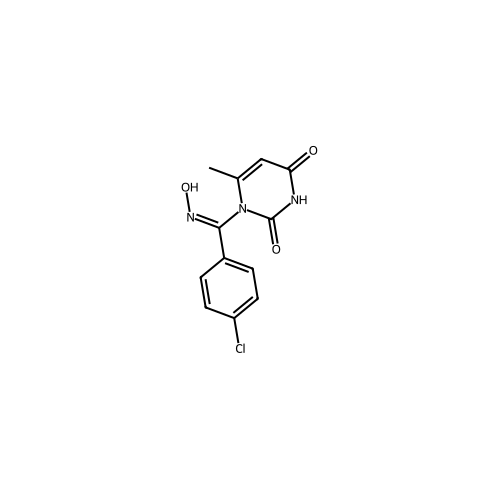 Cc1cc(=O)[nH]c(=O)n1/C(=N\O)c1ccc(Cl)cc1